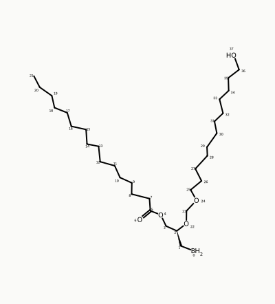 BC[C@@H](COC(=O)CCCCCCCCCCCCCCC)OCOCCCCCCCCCCCCO